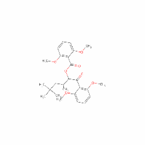 COc1cccc(OC)c1C(=O)OC(C(=O)c1c(OC)cccc1OC)C(C)CC(C)(C)C